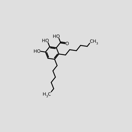 CCCCCCc1cc(O)c(O)c(C(=O)O)c1CCCCCC